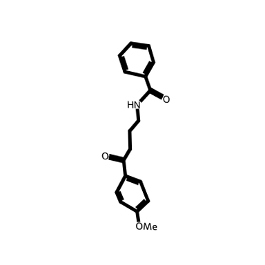 COc1ccc(C(=O)CCCNC(=O)c2ccccc2)cc1